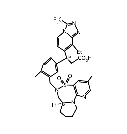 CCc1c([C@@H](CC(=O)O)c2ccc(C)c(CN3C[C@@H]4CCCCN4c4ncc(C)cc4S3(=O)=O)c2)ccn2c(C(F)(F)F)nnc12